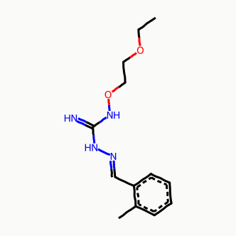 CCOCCONC(=N)N/N=C/c1ccccc1C